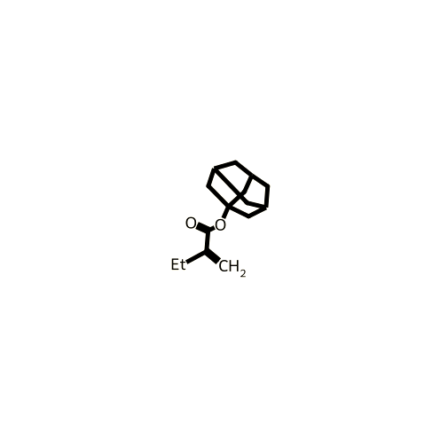 C=C(CC)C(=O)OC12CC3CC(CC(C3)C1)C2